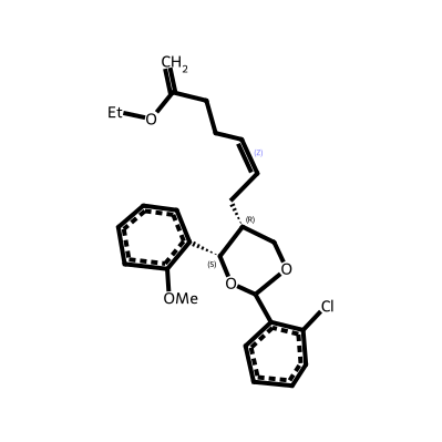 C=C(CC/C=C\C[C@@H]1COC(c2ccccc2Cl)O[C@@H]1c1ccccc1OC)OCC